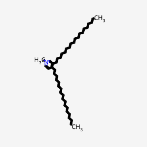 CCCCCCCCCCCCCCCCCCCc1cc[n+](C)cc1CCCCCCCCCCCCCCCCCCC